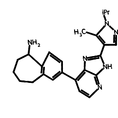 Cc1c(-c2nc3c(-c4ccc5c(c4)CCCCC5N)ccnc3[nH]2)cnn1C(C)C